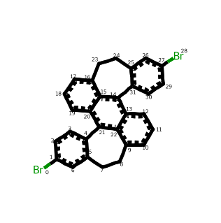 Brc1ccc2c(c1)CCc1cccc3c4c5c(cccc5c-2c13)CCc1cc(Br)ccc1-4